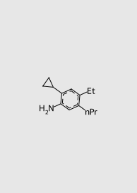 CCCc1cc(N)c(C2CC2)cc1CC